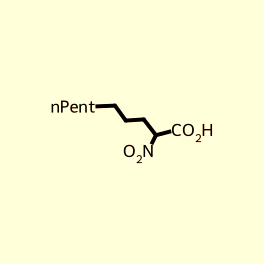 CCCCCCCCC(C(=O)O)[N+](=O)[O-]